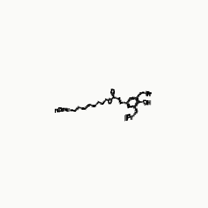 CCCCCCCCCCCCCCCCCCOC(=O)CCc1cc(CC(C)C)c(O)c(CC(C)C)c1